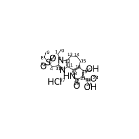 CCn1c(CS(=O)(=O)CC)nc2c1CCCc1c-2[nH]c(=O)c(C(=O)O)c1O.Cl